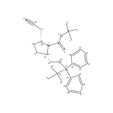 CC(C)(C)OC(=O)N1[C@@H](CC#N)CC[C@H]1CO[Si](c1ccccc1)(c1ccccc1)C(C)(C)C